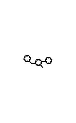 Cc1cc(Cc2ccccc2)ccc1-c1ccccc1